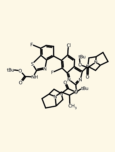 CC(CN1C2CCC1CN(C(=O)OC(C)(C)C)C2)Oc1nc(N2CC3CCC(C2)N3C(=O)OC(C)(C)C)c2cc(Cl)c(-c3ccc(F)c4sc(NC(=O)OC(C)(C)C)nc34)c(F)c2n1